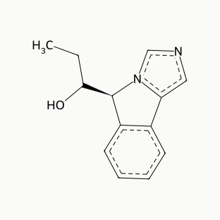 CCC(O)[C@@H]1c2ccccc2-c2cncn21